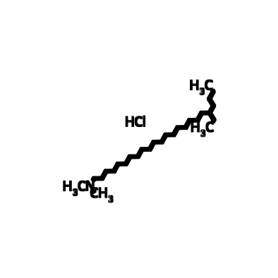 CCCCC(CC)CCCCCCCCCCCCCCCCCCCN(C)C.Cl